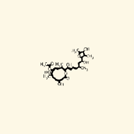 CC(=O)OC1/C=C/C(C)C(/C(C)=C/C=C/C(C)CC(O)C2OC(C)C(O)C2C)OC(=O)CC(O)CCC1(C)O